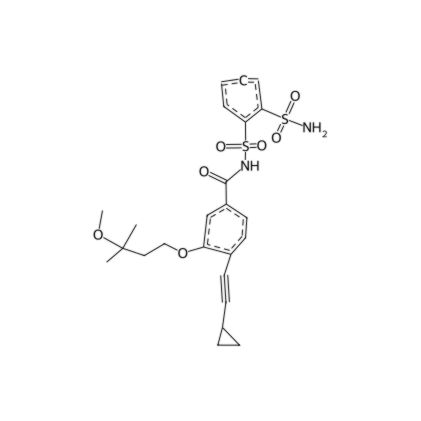 COC(C)(C)CCOc1cc(C(=O)NS(=O)(=O)c2ccccc2S(N)(=O)=O)ccc1C#CC1CC1